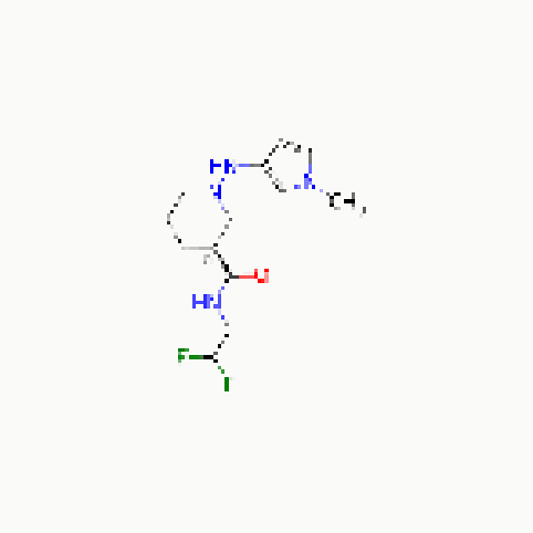 Cn1ccc(NN2CCC[C@H](C(=O)NCC(F)F)C2)c1